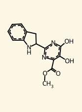 COC(=O)c1nc(C2Cc3ccccc3N2)nc(O)c1O